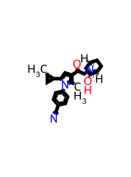 Cc1c(C(=O)CN2[C@@H]3CC[C@H]2[C@H](O)C3)cc(C2CC2C)n1-c1ccc(C#N)cc1